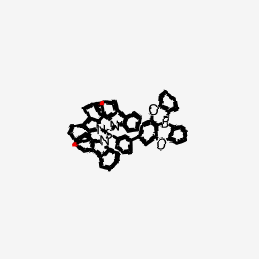 c1ccc2c3ccccc3n(S(c3cccc(-c4cc5c6c(c4)Oc4ccccc4B6c4ccccc4O5)c3)(n3c4c(c5ccccc53)C=CCC4)n3c4ccccc4c4ccccc43)c2c#1